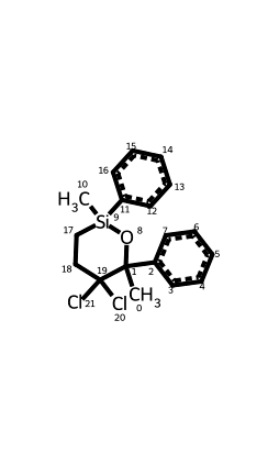 CC1(c2ccccc2)O[Si](C)(c2ccccc2)CCC1(Cl)Cl